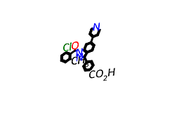 Cc1cccc(Cl)c1C(=O)n1nc(-c2ccc(C(=O)O)cc2)c2ccc(-c3ccncc3)cc21